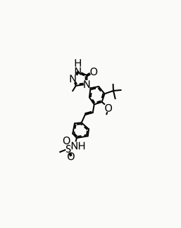 COc1c(C=Cc2ccc(NS(C)(=O)=O)cc2)cc(-n2c(C)n[nH]c2=O)cc1C(C)(C)C